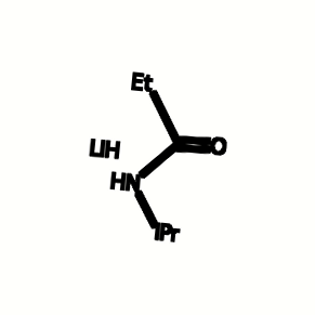 CCC(=O)NC(C)C.[LiH]